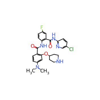 CN(C)c1ccc(C(=O)Nc2ccc(F)cc2C(=O)Nc2ccc(Cl)cn2)c(OC2CCNCC2)c1